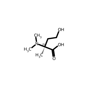 CN(C)[C@@](C)(CCO)C(=O)O